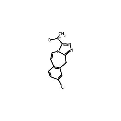 C[S+]([O-])c1nnc2n1C=Cc1ccc(Cl)cc1C2